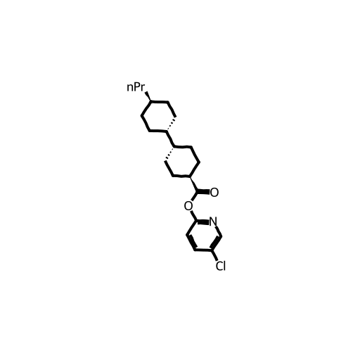 CCC[C@H]1CC[C@H]([C@H]2CC[C@H](C(=O)Oc3ccc(Cl)cn3)CC2)CC1